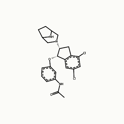 CC(=O)Nc1cccc(O[C@H]2c3cc(Cl)cc(Cl)c3C[C@H]2N2CC3CCC(C2)N3)c1